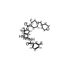 C[C@H]1CN(CC2CCOCC2)CCN1C(=O)N1Cc2c(NC(=O)c3cccc(F)c3)n[nH]c2C1(C)C